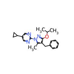 Cc1c(Cc2ccccc2)c(OC(C)C)nn1-c1ncc(C2CC2)cn1